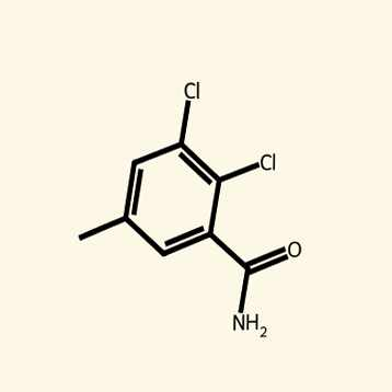 Cc1cc(Cl)c(Cl)c(C(N)=O)c1